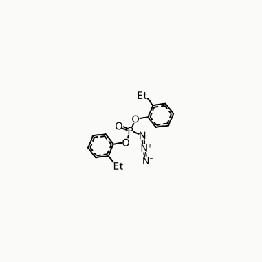 CCc1ccccc1OP(=O)(N=[N+]=[N-])Oc1ccccc1CC